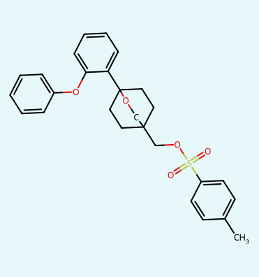 Cc1ccc(S(=O)(=O)OCC23CCC(c4ccccc4Oc4ccccc4)(CC2)OC3)cc1